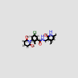 Cc1cc(C)c(CNC(=O)c2cc(Cl)cc(N3C(=O)CCCC3=O)c2C)c(=O)[nH]1